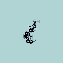 Cc1cc(-c2ccc3nnn(Cc4cccc5ccc(=O)[nH]c45)c3n2)ccc1C(=O)NOCCO